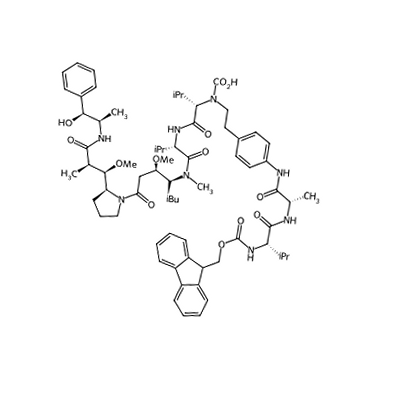 CC[C@H](C)[C@@H]([C@@H](CC(=O)N1CCC[C@H]1[C@H](OC)[C@@H](C)C(=O)N[C@H](C)[C@@H](O)c1ccccc1)OC)N(C)C(=O)[C@@H](NC(=O)[C@H](C(C)C)N(CCc1ccc(NC(=O)[C@H](C)NC(=O)[C@@H](NC(=O)OCC2c3ccccc3-c3ccccc32)C(C)C)cc1)C(=O)O)C(C)C